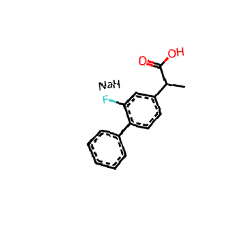 CC(C(=O)O)c1ccc(-c2ccccc2)c(F)c1.[NaH]